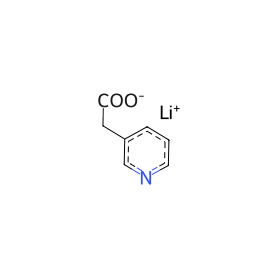 O=C([O-])Cc1cccnc1.[Li+]